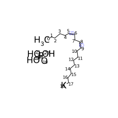 CCCCC/C=C\C/C=C\CCCCCCC[CH2][K].O=P(O)(O)O